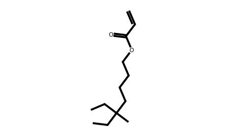 C=CC(=O)OCCCCC(C)(CC)CC